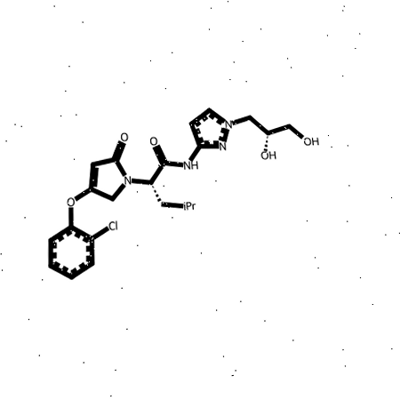 CC(C)C[C@@H](C(=O)Nc1ccn(C[C@@H](O)CO)n1)N1CC(Oc2ccccc2Cl)=CC1=O